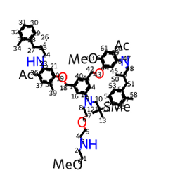 COCCNCCOCCN(CC(C)(C)SC)c1cc(COc2cc(NC[C@@H](C)Cc3ccccc3C)c(C(C)=O)cc2C)cc(COc2cc(/N=C\C(C)Cc3ccccc3C)c(C(C)=O)cc2OC)c1